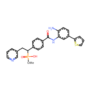 COP(=O)(O)C(Cc1cccnc1)c1ccc(C(=O)Nc2cc(-c3cccs3)ccc2N)cc1